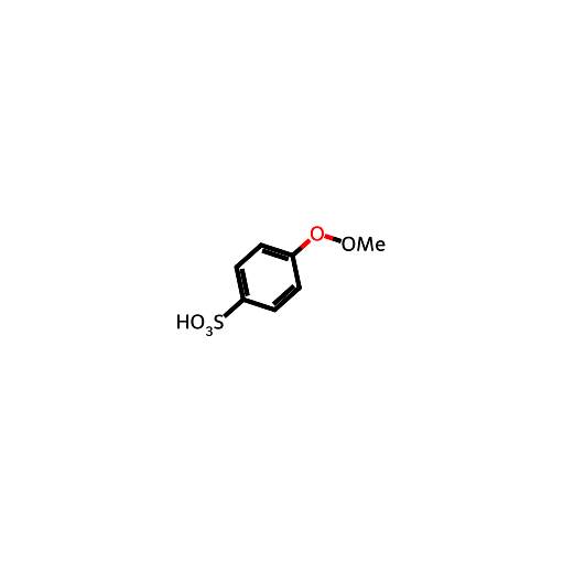 COOc1ccc(S(=O)(=O)O)cc1